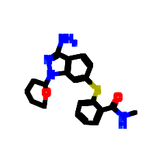 CNC(=O)c1ccccc1Sc1ccc2c(N)nn(C3CCCCO3)c2c1